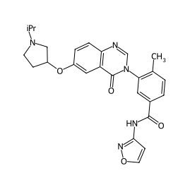 Cc1ccc(C(=O)Nc2ccon2)cc1-n1cnc2ccc(OC3CCN(C(C)C)C3)cc2c1=O